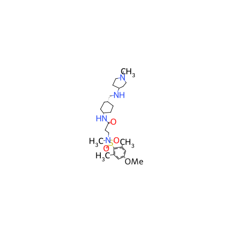 COc1cc(C)c(S(=O)(=O)N(C)CCC(=O)N[C@H]2CC[C@@H](CNC3CCN(C)CC3)CC2)c(C)c1